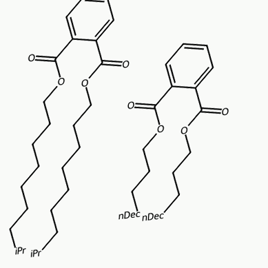 CC(C)CCCCCCCOC(=O)c1ccccc1C(=O)OCCCCCCCC(C)C.CCCCCCCCCCCCCOC(=O)c1ccccc1C(=O)OCCCCCCCCCCCCC